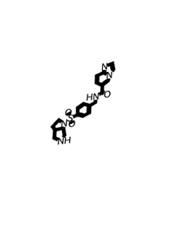 O=C(NCc1ccc(S(=O)(=O)N2CCC3CNCC32)cc1)c1ccc2nccn2c1